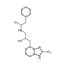 CCC(Cc1ccccc1)NCC(O)Cc1cccc2[nH]c(C(F)(F)F)nc12